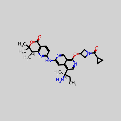 CC[C@@](C)(N)c1cnc(OC2CN(C(=O)C3CC3)C2)c2cnc(Nc3ccc4c(n3)[C@@H](C)C(C)(C)OC4=O)cc12